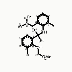 CCC(CC)(Pc1c(C)cccc1CN(C(C)C)C(C)C)c1cccc(C)c1OCOC